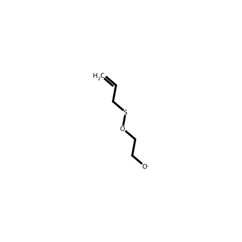 C=CCSOCC[O]